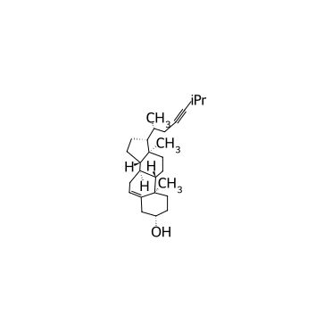 CC(C)C#CC[C@@H](C)[C@H]1CC[C@H]2[C@@H]3CC=C4C[C@@H](O)CC[C@]4(C)[C@H]3CC[C@]12C